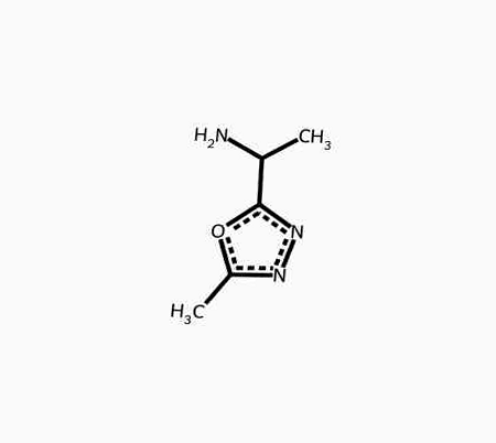 Cc1nnc(C(C)N)o1